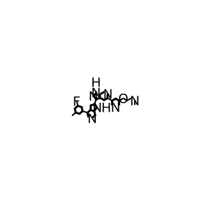 Cc1cc(F)cc(-c2cncc3[nH]c(-c4n[nH]c5cnc(-c6cncc(OCCN(C)C)c6)cc45)cc23)c1